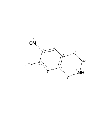 O=Nc1cc2c(cc1F)CNCC2